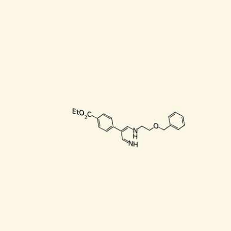 CCOC(=O)c1ccc(/C(C=N)=C/NCCOCc2ccccc2)cc1